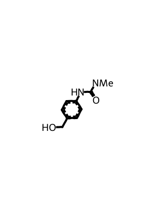 CNC(=O)Nc1ccc(CO)cc1